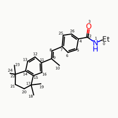 CCNC(=O)c1ccc(C=C(C)c2ccc3c(c2)C(C)(C)CCC3(C)C)cc1